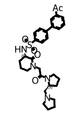 CC(=O)c1cccc(-c2ccc(S(=O)(=O)N[C@H]3CCCN(CC(=O)N4CCC[C@H]4CN4CCCC4)C3=O)cc2)c1